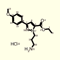 CCOC(=O)c1cc(-c2ccc(OC)cc2)nn1CCCN.Cl